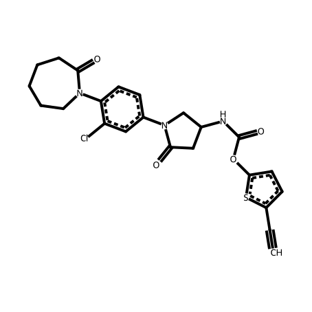 C#Cc1ccc(OC(=O)NC2CC(=O)N(c3ccc(N4CCCCCC4=O)c(Cl)c3)C2)s1